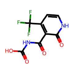 O=C(O)NC(=O)c1c(C(F)(F)F)cc[nH]c1=O